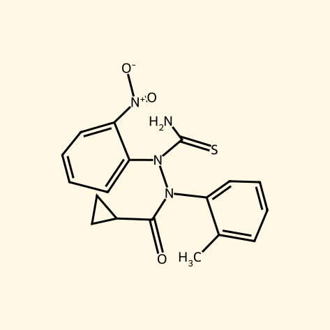 Cc1ccccc1N(C(=O)C1CC1)N(C(N)=S)c1ccccc1[N+](=O)[O-]